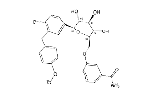 CCOc1ccc(Cc2cc([C@@H]3O[C@H](COc4cccc(C(N)=O)c4)[C@@H](O)[C@H](O)[C@H]3O)ccc2Cl)cc1